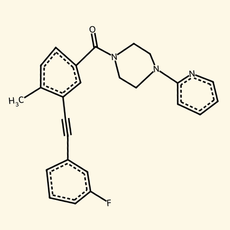 Cc1ccc(C(=O)N2CCN(c3ccccn3)CC2)cc1C#Cc1cccc(F)c1